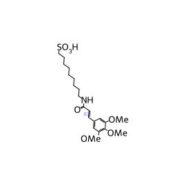 COc1cc(/C=C/C(=O)NCCCCCCCCCS(=O)(=O)O)cc(OC)c1OC